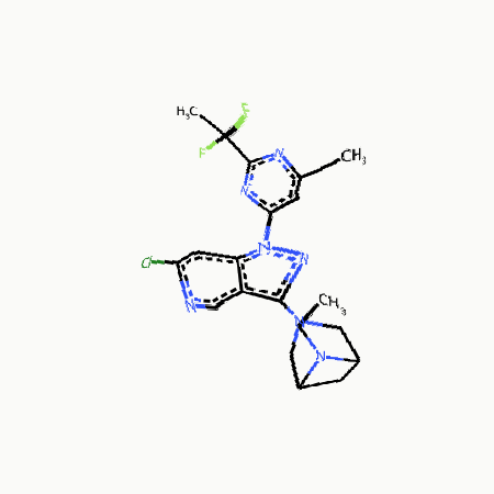 CCN1C2CC1CN(c1nn(-c3cc(C)nc(C(C)(F)F)n3)c3cc(Cl)ncc13)C2